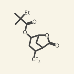 CCC(C)(C)C(=O)OC1CC(C(F)(F)F)C2CC1OC2=O